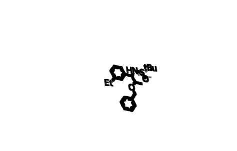 CCc1cccc(C(N[S@@+]([O-])C(C)(C)C)C(C)OCc2ccccc2)c1